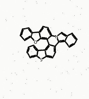 c1ccc2c(c1)cn1c3ccc4c5ccccc5oc4c3c3c(ccc4sc5ccccc5c43)c21